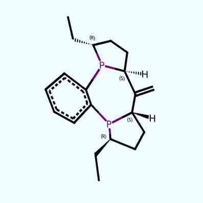 C=C1[C@@H]2CC[C@@H](CC)P2c2ccccc2P2[C@H](CC)CC[C@@H]12